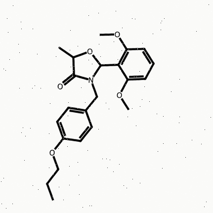 CCCOc1ccc(CN2C(=O)C(C)OC2c2c(OC)cccc2OC)cc1